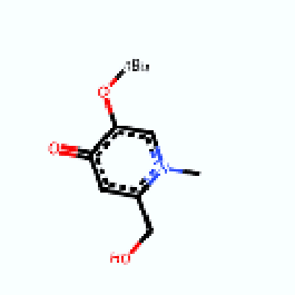 CCCCOc1cn(C)c(CO)cc1=O